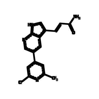 NC(=O)C=Cc1c[nH]c2ncc(-c3cc(Cl)nc(C(F)(F)F)c3)cc12